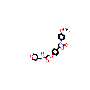 O=C(COc1ccc(C2CN(c3ccc(OC(F)(F)F)cc3)C(=O)O2)cc1)NCC1CCOCC1